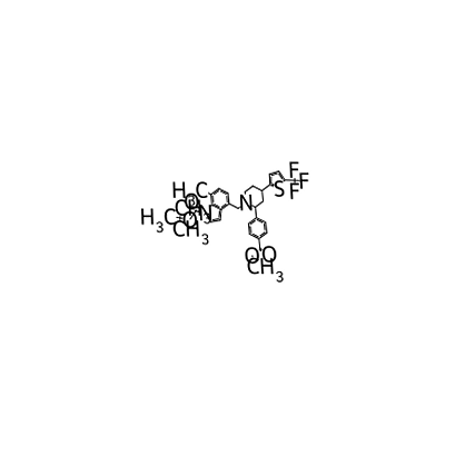 COC(=O)c1ccc(C2CC(c3ccc(C(F)(F)F)s3)CCN2Cc2ccc(C)c3c2ccn3C(=O)OC(C)(C)C)cc1